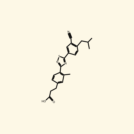 Cc1cc(CCC(=O)O)ccc1-c1nsc(-c2ccc(CC(C)C)c(C#N)c2)n1